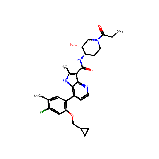 COCC(=O)N1CC[C@@H](NC(=O)c2c(C)[nH]c3c(-c4cc(OC)c(F)cc4OCC4CC4)ccnc23)[C@H](O)C1